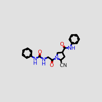 N#CC1CC(C(=O)Nc2ccccc2)CN1C(=O)CNC(=O)Nc1ccccc1